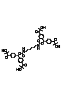 CC(C)(O)C(=O)c1ccc(C(OC(=O)NCCCCCCNC(=O)OC(c2ccc(C(=O)C(C)(C)O)cc2)c2ccc(C(=O)C(C)(C)O)cc2)c2ccc(C(=O)C(C)(C)O)cc2)cc1